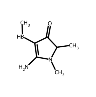 CBC1=C(N)N(C)C(C)C1=O